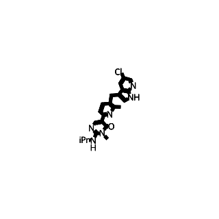 Cc1nc(-c2cnc(NC(C)C)n(C)c2=O)ccc1Cc1c[nH]c2ncc(Cl)cc12